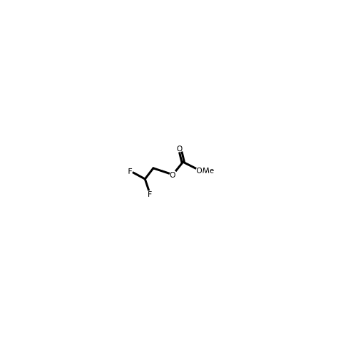 COC(=O)OCC(F)F